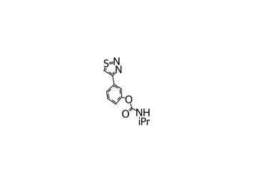 CC(C)NC(=O)Oc1cccc(-c2csnn2)c1